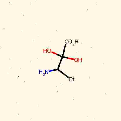 CCC(N)C(O)(O)C(=O)O